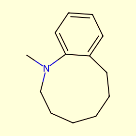 CN1CCCCCCc2ccccc21